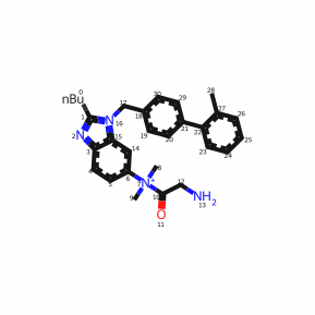 CCCCc1nc2ccc([N+](C)(C)C(=O)CN)cc2n1Cc1ccc(-c2ccccc2C)cc1